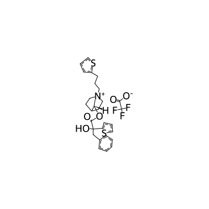 O=C(O[C@H]1C[N+]2(CCCc3cccs3)CCC1CC2)C(O)(Cc1ccccc1)c1cccs1.O=C([O-])C(F)(F)F